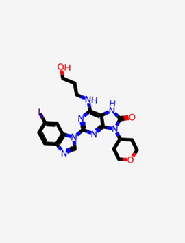 O=c1[nH]c2c(NCCCO)nc(-n3cnc4ccc(I)cc43)nc2n1C1CCOCC1